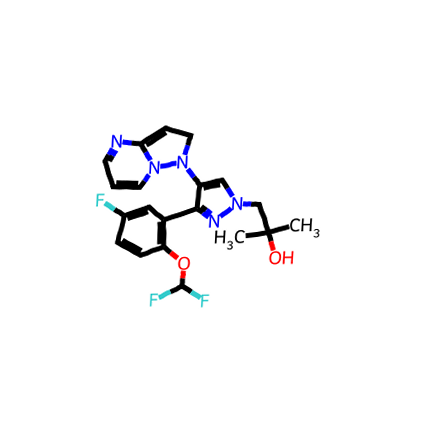 CC(C)(O)Cn1cc(N2CC=C3N=CC=CN32)c(-c2cc(F)ccc2OC(F)F)n1